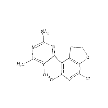 Cc1nc(N)nc(-c2c(Cl)cc(Cl)c3c2CCO3)c1C